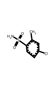 Cc1cc(Cl)ccc1S(N)(=O)=O